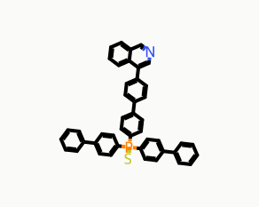 S=P(c1ccc(-c2ccccc2)cc1)(c1ccc(-c2ccccc2)cc1)c1ccc(-c2ccc(-c3cncc4ccccc34)cc2)cc1